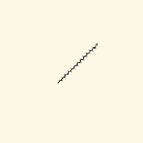 CCCCCCCCCCCCCCCCCCCCCCCC=CN